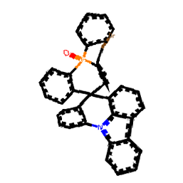 O=P1(c2ccccc2)c2ccccc2C2(c3ccccc3-n3c4ccccc4c4cccc2c43)c2cccc(Br)c21